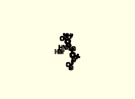 Br.CCOc1cc2c(cc1C(=O)NC)C(=N)N(CC(=O)c1ccc(OC=CC(=O)OC)c(C(C)(C)C)c1)C2